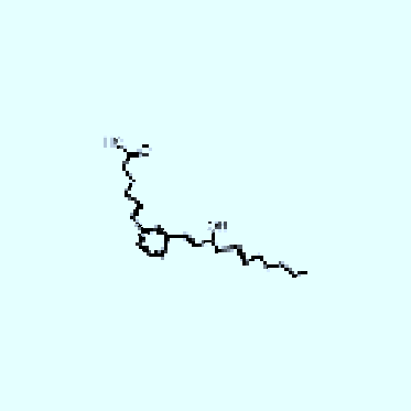 CCCCCC=CCC(O)C=Cc1cccc(C=CCCCC(=O)O)c1